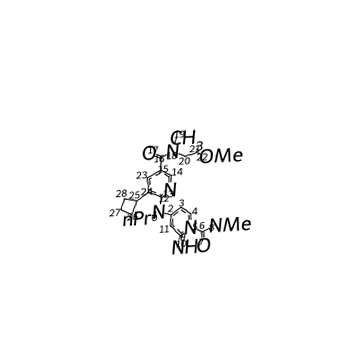 CCCN(c1ccn(C(=O)NC)c(=N)c1)c1ncc(C(=O)N(C)CCOC)cc1C1CCC1